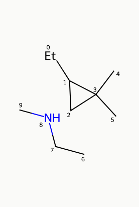 CCC1CC1(C)C.CCNC